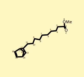 COC(=O)CCCCCCCCCC1CC2C=CC1C2